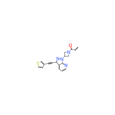 C=CC(=O)N1CC(n2nc(C#Cc3ccsc3)c3cccnc32)C1